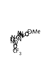 COc1ccc(Cn2nnc3cc(-c4nccnc4Oc4ccc(C(F)(F)F)cc4)cnc32)cc1